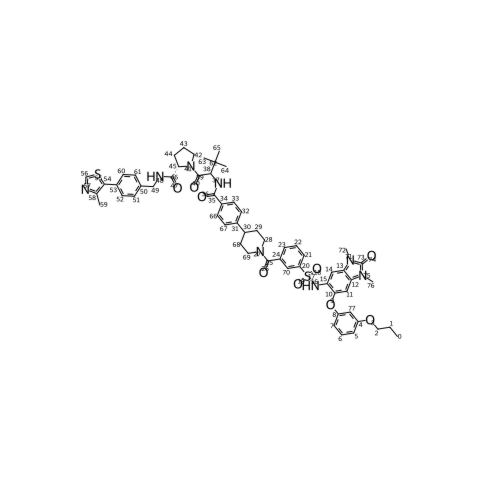 CCCOc1cccc(Oc2cc3c(cc2NS(=O)(=O)c2cccc(C(=O)N4CCC(c5ccc(C(=O)NC(C(=O)N6CCC[C@H]6C(=O)NCc6ccc(-c7scnc7C)cc6)C(C)(C)C)cc5)CC4)c2)n(C)c(=O)n3C)c1